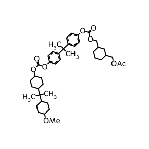 COC1CCC(C(C)(C)C2CCC(OC(=O)Oc3ccc(C(C)(C)c4ccc(OC(=O)OCC5CCCC(COC(C)=O)C5)cc4)cc3)CC2)CC1